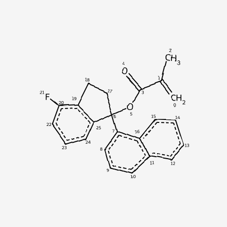 C=C(C)C(=O)OC1(c2cccc3ccccc23)CCc2c(F)cccc21